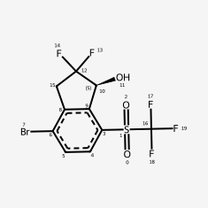 O=S(=O)(c1ccc(Br)c2c1[C@H](O)C(F)(F)C2)C(F)(F)F